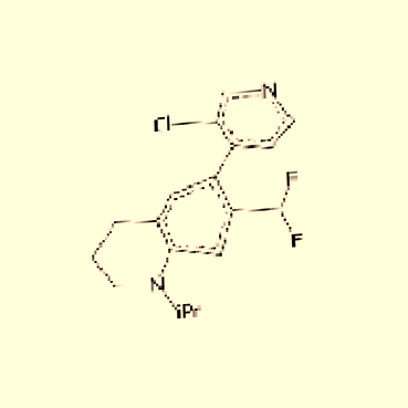 CC(C)N1CCCc2cc(-c3ccncc3Cl)c(C(F)F)cc21